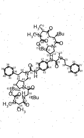 C[C@@H](C(=O)C[C@H](C(=O)N1CCC[C@H]1CN(CCc1ccccc1)C(=O)Nc1ccc(NC(=O)N(CCc2ccccc2)C[C@@H]2CCCN2C(=O)[C@@H](NC(=O)[C@H](C)N(C)C(=O)OC(C)(C)C)C(C)(C)C)cc1)C(C)(C)C)N(C)C(=O)OC(C)(C)C